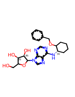 OCC1OC(n2cnc3c(N[C@H]4CCCCC4OCc4ccccc4)ncnc32)[C@H](O)[C@@H]1O